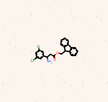 NC(CC(=O)OCC1c2ccccc2-c2ccccc21)c1cc(Cl)cc(Cl)c1